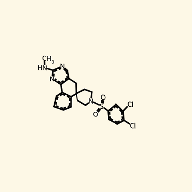 CNc1ncc2c(n1)-c1ccccc1C1(CCN(S(=O)(=O)c3ccc(Cl)c(Cl)c3)CC1)C2